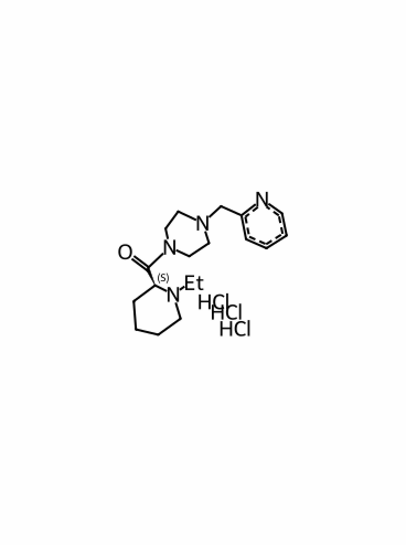 CCN1CCCC[C@H]1C(=O)N1CCN(Cc2ccccn2)CC1.Cl.Cl.Cl